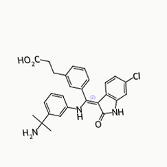 CC(C)(N)c1cccc(N/C(=C2\C(=O)Nc3cc(Cl)ccc32)c2cccc(CCC(=O)O)c2)c1